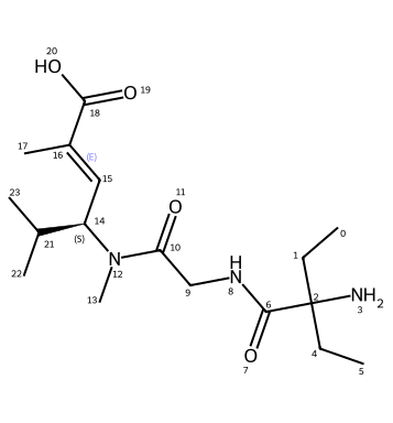 CCC(N)(CC)C(=O)NCC(=O)N(C)[C@H](/C=C(\C)C(=O)O)C(C)C